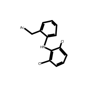 CC(=O)Cc1ccccc1Nc1c(Cl)cccc1Cl